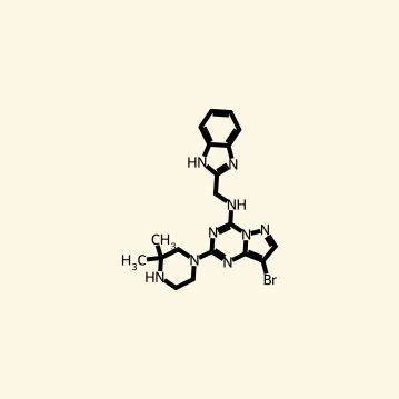 CC1(C)CN(c2nc(NCc3nc4ccccc4[nH]3)n3ncc(Br)c3n2)CCN1